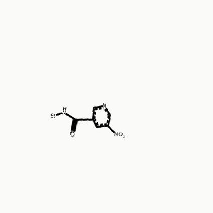 CCNC(=O)c1cncc([N+](=O)[O-])c1